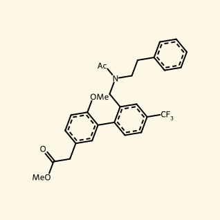 COC(=O)Cc1ccc(OC)c(-c2ccc(C(F)(F)F)cc2CN(CCc2ccccc2)C(C)=O)c1